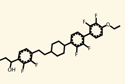 CCOc1ccc(-c2ccc(C3CCC(CCc4ccc(C(O)CC)c(F)c4F)CC3)c(F)c2F)c(F)c1F